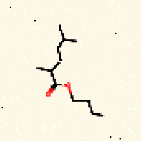 CCCCOC(=O)C(C)CCC(C)C